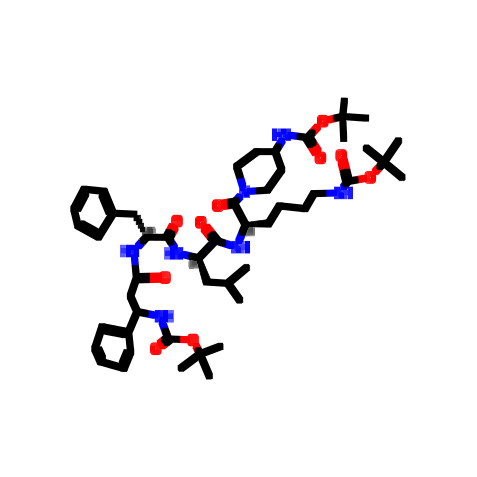 CC(C)C[C@@H](NC(=O)[C@@H](Cc1ccccc1)NC(=O)CC(NC(=O)OC(C)(C)C)c1ccccc1)C(=O)N[C@H](CCCCNC(=O)OC(C)(C)C)C(=O)N1CCC(NC(=O)OC(C)(C)C)CC1